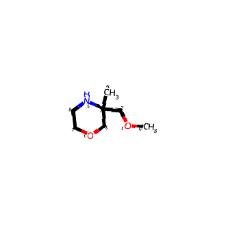 COCC1(C)COCCN1